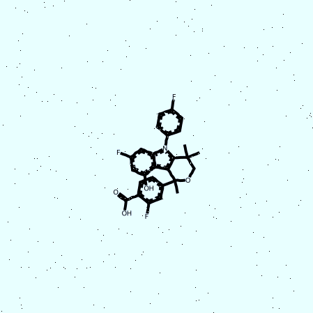 CC1(C)COC(C)(c2ccc(C(=O)O)c(F)c2)c2c1n(-c1ccc(F)cc1)c1cc(F)cc(O)c21